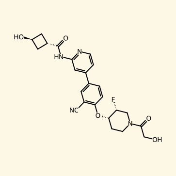 N#Cc1cc(-c2ccnc(NC(=O)[C@H]3C[C@H](O)C3)c2)ccc1O[C@H]1CCN(C(=O)CO)C[C@H]1F